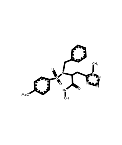 COc1ccc(S(=O)(=O)N(Cc2ccccc2)C(Cc2nnnn2C)C(=O)NO)cc1